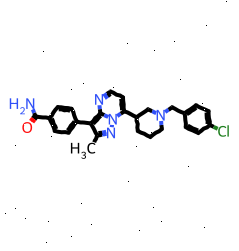 Cc1nn2c(C3CCCN(Cc4ccc(Cl)cc4)C3)ccnc2c1-c1ccc(C(N)=O)cc1